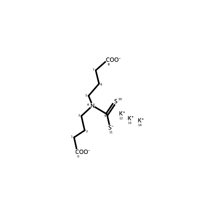 O=C([O-])CCCN(CCCC(=O)[O-])C(=S)[S-].[K+].[K+].[K+]